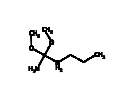 CCC[SiH2]C(N)(OC)OC